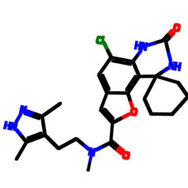 Cc1n[nH]c(C)c1CCN(C)C(=O)c1cc2cc(Cl)c3c(c2o1)C1(CCCCC1)NC(=O)N3